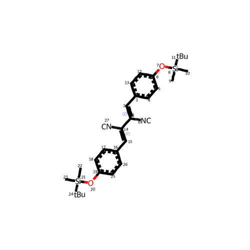 [C-]#[N+]C(=C\c1ccc(O[Si](C)(C)C(C)(C)C)cc1)/C(=C/c1ccc(O[Si](C)(C)C(C)(C)C)cc1)[N+]#[C-]